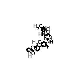 Cc1cc(Nc2nc(Nc3cc(C)c(C4CCN(C(=O)[C@]5(C)CCCN5)CC4)cc3F)ncc2Cl)n[nH]1